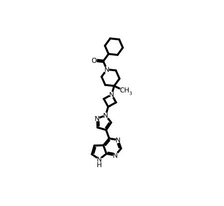 CC1(N2C[C](n3cc(-c4ncnc5[nH]ccc45)cn3)C2)CCN(C(=O)C2CCCCC2)CC1